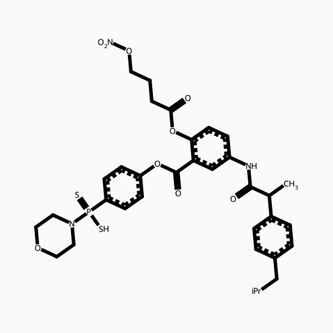 CC(C)Cc1ccc(C(C)C(=O)Nc2ccc(OC(=O)CCCO[N+](=O)[O-])c(C(=O)Oc3ccc(P(=S)(S)N4CCOCC4)cc3)c2)cc1